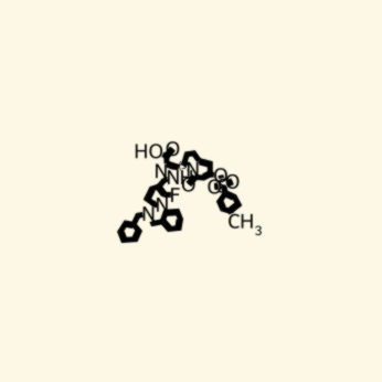 Cc1ccc(S(=O)(=O)Oc2cc3n(c(=O)c2)[C@H](c2[nH]c(-c4ccc(N(Cc5ccccc5)Cc5ccccc5)nc4F)nc2C(=O)O)CC3)cc1